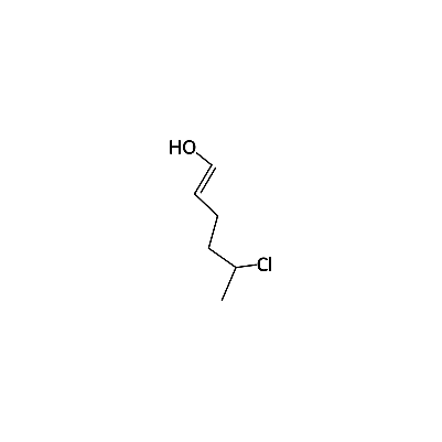 CC(Cl)CC/C=C/O